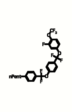 CCCCCc1ccc(C(F)(F)Oc2ccc(C(F)(F)Oc3ccc(OC(F)(F)F)c(F)c3)cc2)cc1